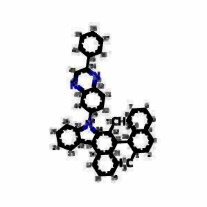 Cc1ccc2ccccc2c1-c1c(C)c2c(c3ccccc13)c1ccccc1n2-c1ccc2nc(-c3ccccc3)cnc2c1